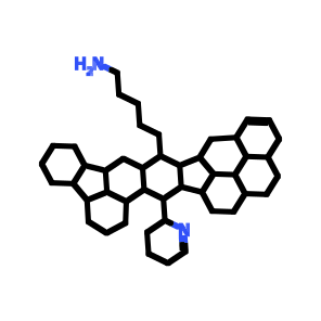 NCCCCCC1C2CC3C4CCCCC4C4CCCC(C43)C2C(C2CCCC=N2)C2C3CCC4CCC5CC=CC6CC(C3C4C65)C12